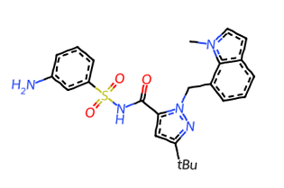 Cn1ccc2cccc(Cn3nc(C(C)(C)C)cc3C(=O)NS(=O)(=O)c3cccc(N)c3)c21